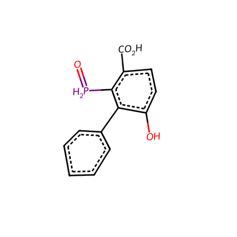 O=[PH2]c1c(C(=O)O)ccc(O)c1-c1ccccc1